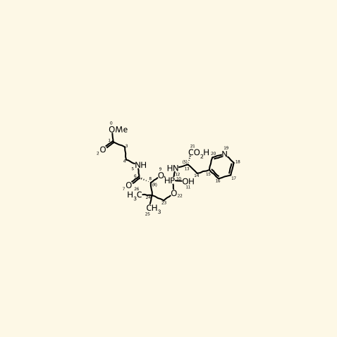 COC(=O)CCNC(=O)[C@@H]1O[PH](O)(N[C@@H](Cc2cccnc2)C(=O)O)OCC1(C)C